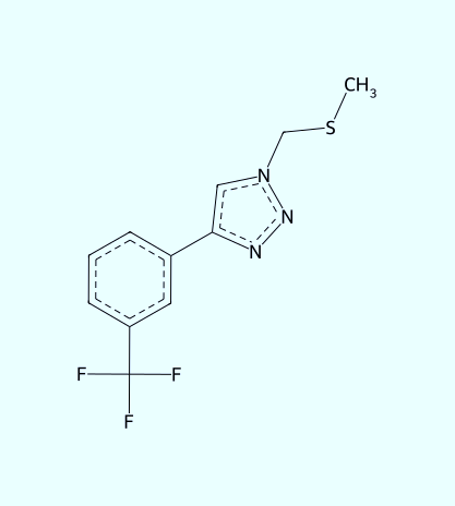 CSCn1cc(-c2cccc(C(F)(F)F)c2)nn1